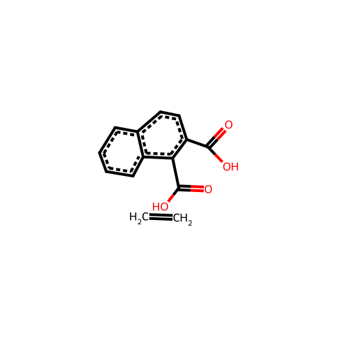 C=C.O=C(O)c1ccc2ccccc2c1C(=O)O